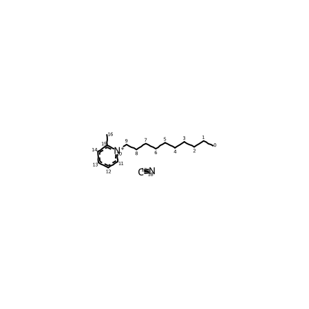 CCCCCCCCCC[n+]1ccccc1C.[C-]#N